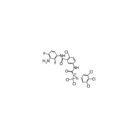 Nc1c(F)ccc(NC(=O)c2cc(NC(=O)[C@H]3[C@H](c4cc(Cl)c(Cl)c(Cl)c4)C3(Cl)Cl)ccc2Cl)c1F